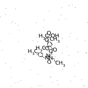 CCCn1c(COC(=O)c2ccc(OC(C)(C)C(=O)O)cc2OC)nn(Cc2ccc(C)cc2)c1=O